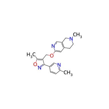 Cc1ccc(-c2noc(C)c2COc2cc3c(cn2)CN(C)CC3)cn1